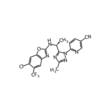 Cc1nc([C@H](C)Nc2nc3cc(C(F)(F)F)c(Cl)cc3o2)n(-c2ccc(C#N)cn2)n1